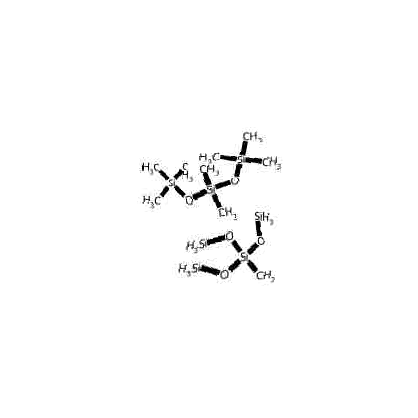 C[Si](C)(C)O[Si](C)(C)O[Si](C)(C)C.C[Si](O[SiH3])(O[SiH3])O[SiH3]